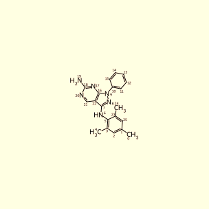 Cc1cc(C)c(Nc2nn(-c3ccccc3)c3nc(N)ncc23)c(C)c1